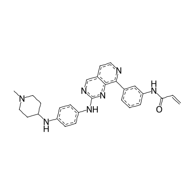 C=CC(=O)Nc1cccc(-c2nccc3cnc(Nc4ccc(NC5CCN(C)CC5)cc4)nc23)c1